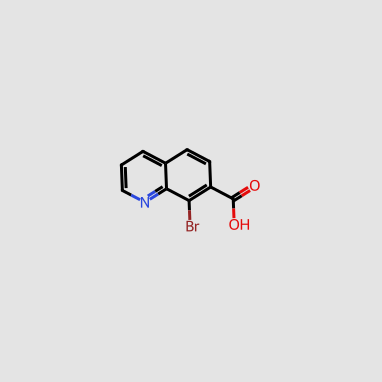 O=C(O)c1ccc2cccnc2c1Br